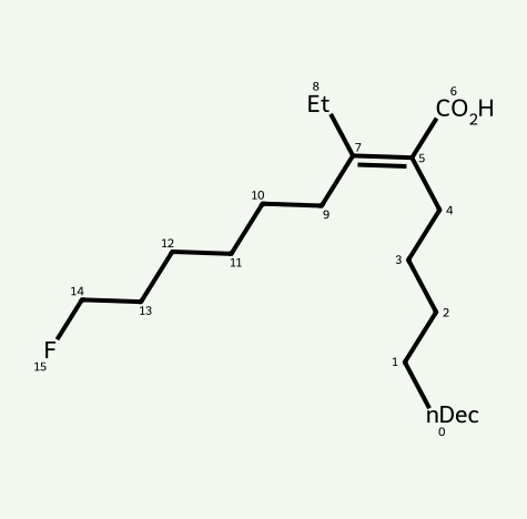 CCCCCCCCCCCCCCC(C(=O)O)=C(CC)CCCCCCF